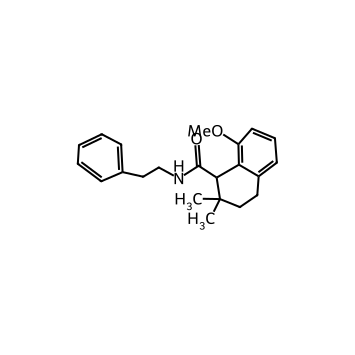 COc1cccc2c1C(C(=O)NCCc1ccccc1)C(C)(C)CC2